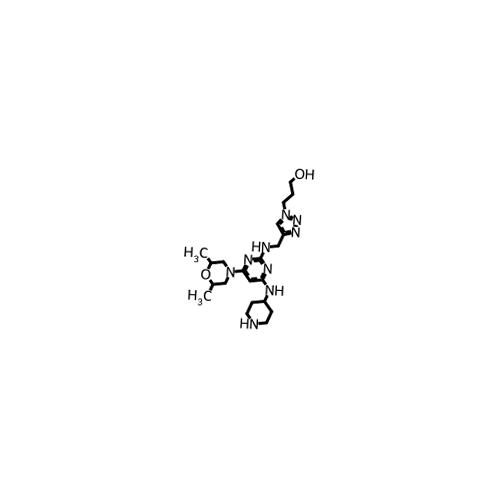 CC1CN(c2cc(NC3CCNCC3)nc(NCc3cn(CCCO)nn3)n2)CC(C)O1